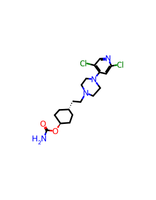 NC(=O)O[C@H]1CC[C@H](CCN2CCN(c3cc(Cl)ncc3Cl)CC2)CC1